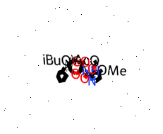 COc1ccnc(C(=O)N[C@H]2COC[C@H](Cc3ccccc3)[C@@H](OCC(C)C)[C@H](C)OC2=O)c1OCOC(C)=O